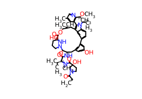 C=CC(=O)N1CCC(O)(C(=O)N(C)[C@H](C(=O)N[C@H]2Cc3cc(O)cc(c3)-c3ccc4c(c3)c(c(-c3cc(C)cnc3[C@H](C)OC)n4CC)CC(C)(C)COC(=O)[C@@]3(O)CCCN(N3)C2=O)C(C)C)C1